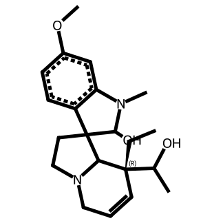 CC[C@@]1(C(C)O)C=CCN2CCC3(c4ccc(OC)cc4N(C)C3O)C21